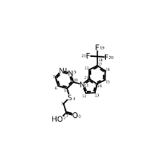 O=C(O)CSc1ccnnc1-n1ccc2ccc(C(F)(F)F)cc21